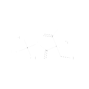 CC[C@](N)(C(=O)O)C(=O)OC(C)(C)C